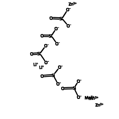 O=[Si]([O-])[O-].O=[Si]([O-])[O-].O=[Si]([O-])[O-].O=[Si]([O-])[O-].O=[Si]([O-])[O-].[Li+].[Li+].[Mn+2].[Mn+2].[Zn+2].[Zn+2]